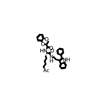 CC(=O)CCCCC[C@H](NC(=O)C1COc2ccccc2O1)C(=O)NCCc1c(-c2ccccc2)[nH]c2ccccc12